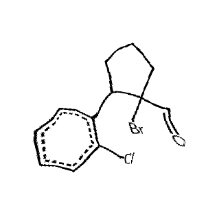 O=CC1(Br)CCCC1c1ccccc1Cl